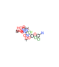 CC(C)(C)OC(=O)N(Cc1ccc(Cl)c(Oc2cc(Cl)cc(C#N)c2)c1F)C(=O)C1=C(Cl)N(C(C)(C)C)C(N(C(=O)O)C(=O)O)(C(C)(C)C)N1COCC[Si](C)(C)C